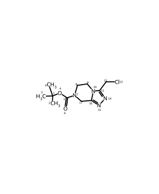 CC(C)(C)OC(=O)N1CCn2c(CCl)nnc2C1